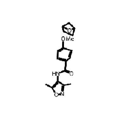 C1CC2CC1O2.COc1ccc(C(=O)Nc2c(C)noc2C)cc1